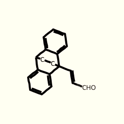 O=C/C=C/C12CCC(c3ccccc31)c1ccccc12